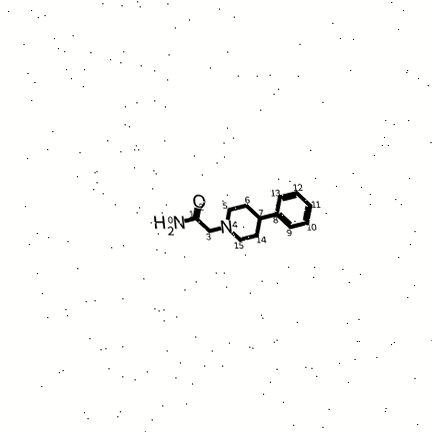 NC(=O)CN1CCC(c2ccccc2)CC1